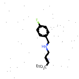 CCOC(=O)/C=C/CNCc1ccc(F)cc1